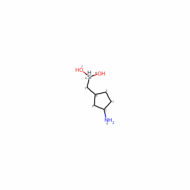 NC1CCC(C[SiH](O)O)C1